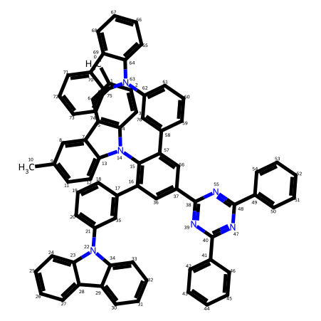 Cc1ccc2c(c1)c1cc(C)ccc1n2-c1c(-c2cccc(-n3c4ccccc4c4ccccc43)c2)cc(-c2nc(-c3ccccc3)nc(-c3ccccc3)n2)cc1-c1cccc(-n2c3ccccc3c3ccccc32)c1